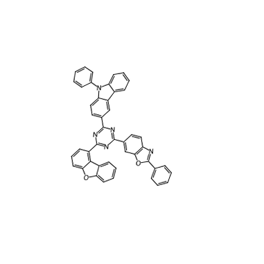 c1ccc(-c2nc3ccc(-c4nc(-c5ccc6c(c5)c5ccccc5n6-c5ccccc5)nc(-c5cccc6oc7ccccc7c56)n4)cc3o2)cc1